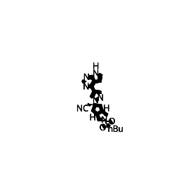 CCCCS(=O)(=O)N1C[C@@H]2C[C@](CC#N)(n3cc(-c4ncnc5[nH]ccc45)cn3)C[C@@H]2C1